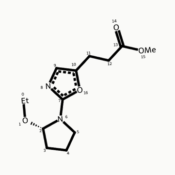 CCO[C@H]1CCCN1c1ncc(CCC(=O)OC)o1